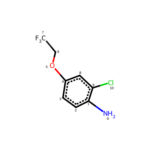 Nc1ccc(OCC(F)(F)F)cc1Cl